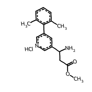 COC(=O)CC(N)c1cncc(-c2c(C)cccc2C)c1.Cl